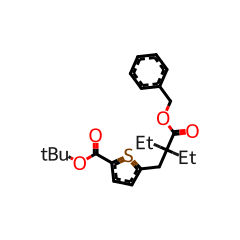 CCC(CC)(Cc1ccc(C(=O)OC(C)(C)C)s1)C(=O)OCc1ccccc1